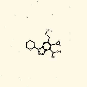 COCc1cc2c(cnn2C2CCCCO2)c(B(O)O)c1C1CC1